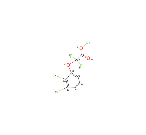 O=C(OF)C(F)(F)Oc1cccc(F)c1F